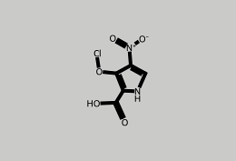 O=C(O)c1[nH]cc([N+](=O)[O-])c1OCl